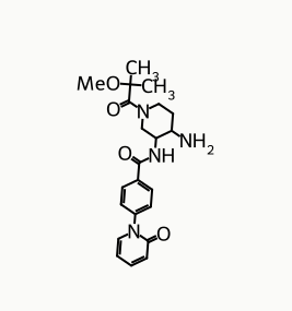 COC(C)(C)C(=O)N1CCC(N)C(NC(=O)c2ccc(-n3ccccc3=O)cc2)C1